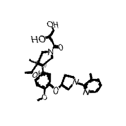 COc1ccc([C@@H]2CN(C(=O)C(O)CO)C[C@@]2(C)C(C)O)cc1OC1CCN(c2ncccc2C)C1